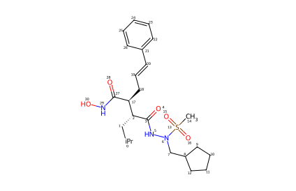 CC(C)C[C@@H](C(=O)NN(CC1CCCC1)S(C)(=O)=O)[C@H](CC=Cc1ccccc1)C(=O)NO